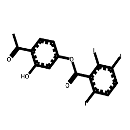 CC(=O)c1ccc(OC(=O)c2c(I)ccc(I)c2I)cc1O